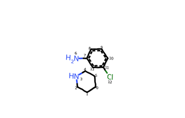 C1CCNCC1.Nc1cccc(Cl)c1